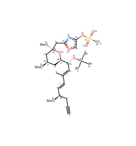 C#CC[C@H](/C=C/C(C)=C/[C@@H](O[Si](C(C)C)(C(C)C)C(C)C)[C@H]1C[C@@H](OC)C[C@](Cc2nc(OS(=O)(=O)C(F)(F)F)co2)(OC)O1)OC